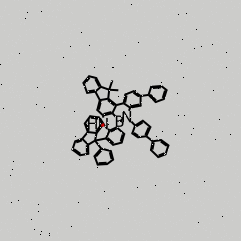 CC1(C)c2ccccc2-c2cc3c4c(c21)-c1ccc(-c2ccccc2)cc1N(c1ccc(-c2ccccc2)cc1)B4c1cccc(C2(c4ccccc4)c4ccccc4-c4ccccc42)c1N3